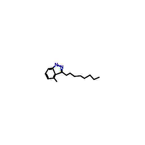 CCCCCCCCC1=N[N]c2cccc(C)c21